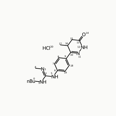 CCCCNC(=NC)Nc1ccc(C2=NNC(=O)CC2C)cc1.Cl